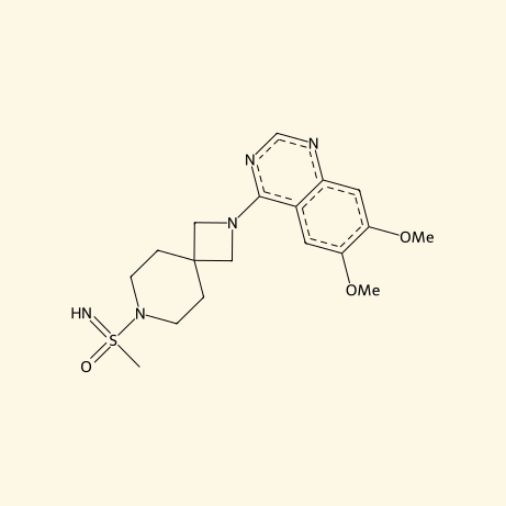 COc1cc2ncnc(N3CC4(CCN(S(C)(=N)=O)CC4)C3)c2cc1OC